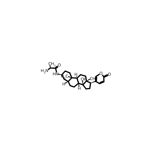 C[C@H](N)C(=O)N[C@H]1CC[C@@]2(C)[C@H](CC[C@@H]3[C@@H]2CC[C@]2(C)[C@@H](c4ccc(=O)oc4)CC[C@]32O)C1